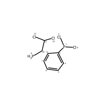 ClP(Cl)c1ccccc1.PCC(Cl)Cl